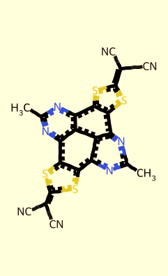 Cc1nc2c3sc(=C(C#N)C#N)sc3c3nc(C)nc4c5sc(=C(C#N)C#N)sc5c(n1)c2c34